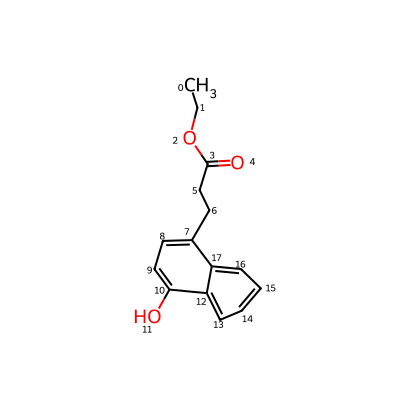 CCOC(=O)CCc1ccc(O)c2ccccc12